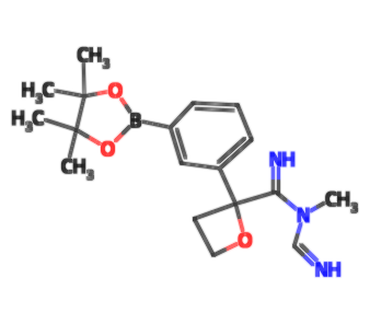 CN(C=N)C(=N)C1(c2cccc(B3OC(C)(C)C(C)(C)O3)c2)CCO1